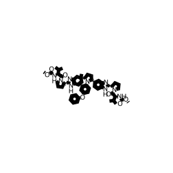 COC(=O)N[C@H](C(=O)N1CCC[C@H]1c1nc2c([nH]1)C=CC(C)([C@H]1CC[C@H](c3ccc4[nH]c([C@@H]5CCCN5C(=O)[C@@H](NC(=O)OC)C(C)C)nc4c3)N1c1ccc(Oc3ccccc3)cc1)C2)C(C)C